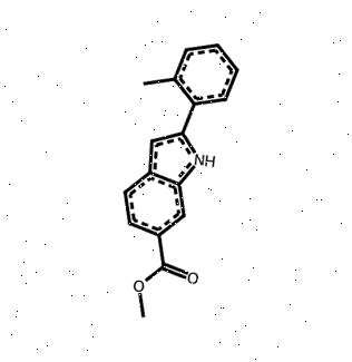 COC(=O)c1ccc2cc(-c3ccccc3C)[nH]c2c1